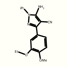 CCOc1cc(-c2nn(C(C)C)c(N)c2C#N)ccc1OC